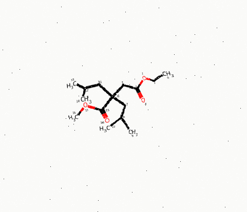 CCOC(=O)CC(CC(C)C)(CC(C)C)C(=O)OC